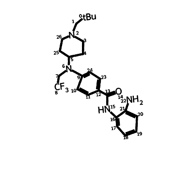 CC(C)(C)CN1CCC(N(CC(F)(F)F)c2ccc(C(=O)Nc3ccccc3N)cc2)CC1